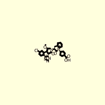 COc1cn([C@@H](Cc2ccccc2)C(=O)Nc2ccc(C(=O)O)cc2)c(=O)cc1-c1cc(Cl)ccc1-n1cnnn1